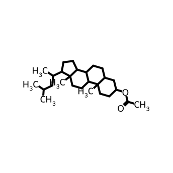 CC(=O)OC1CCC2(C)C(CCC3C2CCC2(C)C(C(C)CC(C)C)CCC32)C1